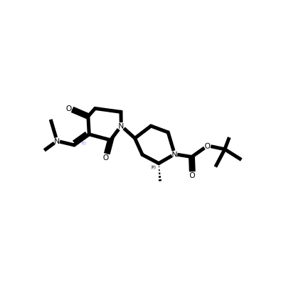 C[C@@H]1CC(N2CCC(=O)/C(=C\N(C)C)C2=O)CCN1C(=O)OC(C)(C)C